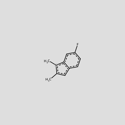 Cc1cc2ccc(F)cc2n1C